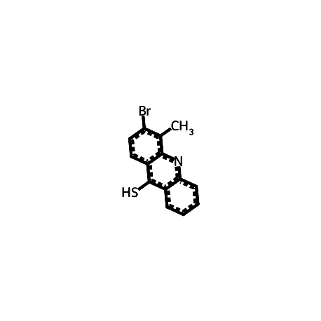 Cc1c(Br)ccc2c(S)c3ccccc3nc12